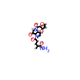 CC(C[CH]C(=O)N1CCC2C1C(=O)CN2C(=O)C1OC=CC1=O)C(N)=O